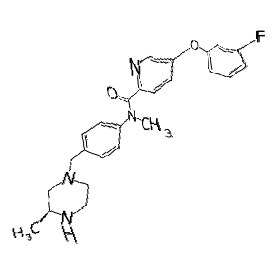 C[C@H]1CN(Cc2ccc(N(C)C(=O)c3ccc(Oc4cccc(F)c4)cn3)cc2)CCN1